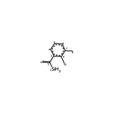 C=C([SiH3])c1cccc(C)c1C